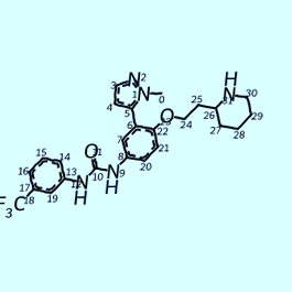 Cn1nccc1-c1cc(NC(=O)Nc2cccc(C(F)(F)F)c2)ccc1OCCC1CCCCN1